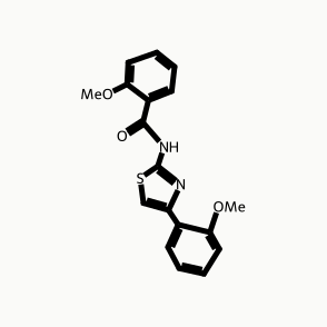 COc1ccccc1C(=O)Nc1nc(-c2ccccc2OC)cs1